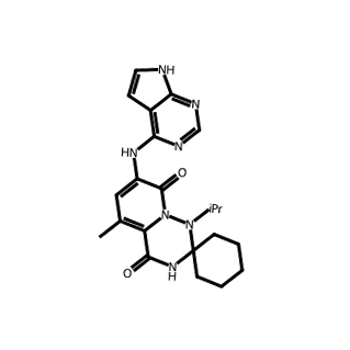 Cc1cc(Nc2ncnc3[nH]ccc23)c(=O)n2c1C(=O)NC1(CCCCC1)N2C(C)C